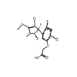 COC1=C(Cl)C(F)(c2cc(OCC(=O)O)c(Cl)cc2F)N(F)N1C